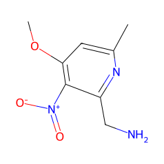 COc1cc(C)nc(CN)c1[N+](=O)[O-]